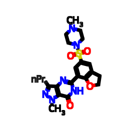 CCCc1nn(C)c2c(=O)[nH]c(-c3cc(S(=O)(=O)N4CCN(C)CC4)cc4c3OCC4)nc12